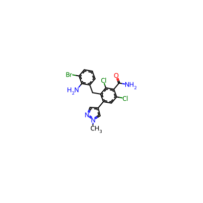 Cn1cc(-c2cc(Cl)c(C(N)=O)c(Cl)c2Cc2cccc(Br)c2N)cn1